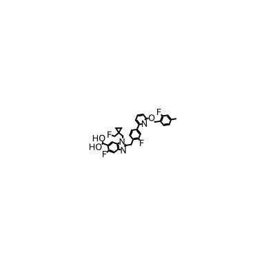 Cc1ccc(COc2cccc(-c3ccc(Cc4nc5cc(F)c(C(O)O)cc5n4CC4(CF)CC4)c(F)c3)n2)c(F)c1